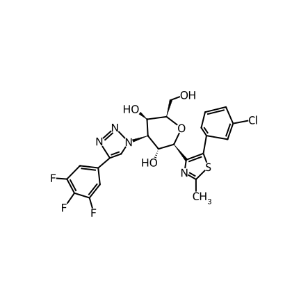 Cc1nc([C@@H]2O[C@H](CO)[C@H](O)[C@H](n3cc(-c4cc(F)c(F)c(F)c4)nn3)[C@H]2O)c(-c2cccc(Cl)c2)s1